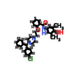 Cc1cc(NC(=O)c2ccccc2OCCN2CCN(C(c3ccccc3)c3ccc(Cl)cc3)CC2)cc(C)c1O